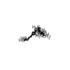 COC(=O)[C@@H](NC(=O)c1ccc(C#CC#CCC(O)CO)cc1)C(C)(C)NC(=O)OC(C)(C)C